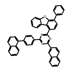 c1ccc(-c2ccc(-c3nc(-c4ccc(-c5cccc6ccccc56)cc4)nc(-c4ccc5ccccc5c4)n3)c3c2oc2ccccc23)cc1